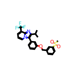 CC(C)c1nc2c(C(F)(F)F)cccn2c1-c1cccc(OCc2cccc(S(C)(=O)=O)c2)c1